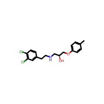 Cc1ccc(OC[C@@H](O)CNCCc2ccc(Cl)c(Cl)c2)cc1